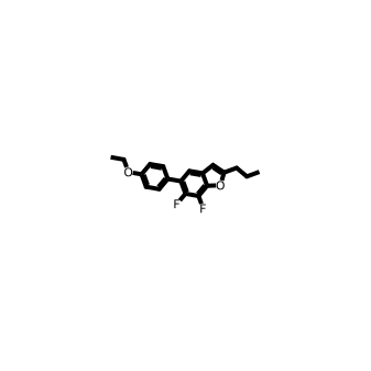 CCCc1cc2cc(-c3ccc(OCC)cc3)c(F)c(F)c2o1